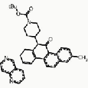 Cc1ccc2c3c(ccc2c1)C1=C(CCC=C1)C(C1CCN(C(=O)OC(C)(C)C)CC1)C3=O.c1cnc2ccncc2c1